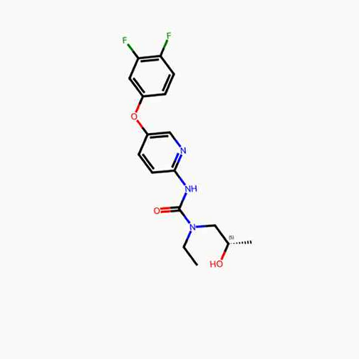 CCN(C[C@H](C)O)C(=O)Nc1ccc(Oc2ccc(F)c(F)c2)cn1